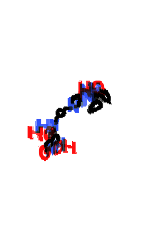 O=c1ccc2c([C@@H](O)CNCCc3ccc(CCN4CCC(Cn5cnc([C@@H](c6ccccc6O)C6CCCCC6)n5)CC4)cc3)ccc(O)c2[nH]1